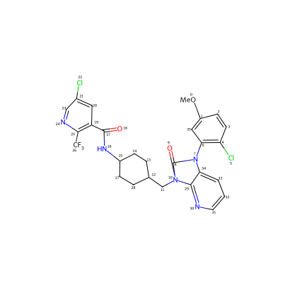 COc1ccc(Cl)c(-n2c(=O)n(CC3CCC(NC(=O)c4cc(Cl)cnc4C(F)(F)F)CC3)c3ncccc32)c1